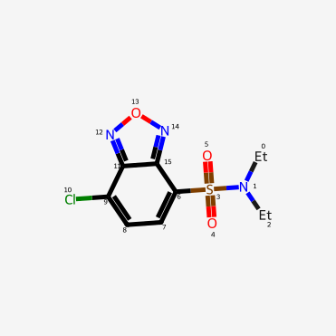 CCN(CC)S(=O)(=O)c1ccc(Cl)c2nonc12